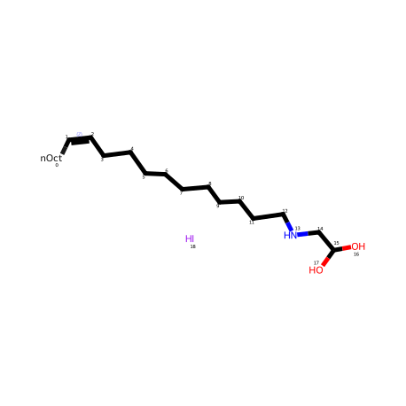 CCCCCCCC/C=C\CCCCCCCCCCNCC(O)O.I